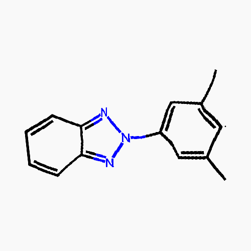 Cc1[c]c(C)cc(-n2nc3ccccc3n2)c1